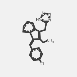 CCC1=C(Cc2nnn[nH]2)c2ccccc2C1=Cc1ccc(Cl)cc1